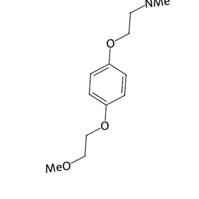 CNCCOc1ccc(OCCOC)cc1